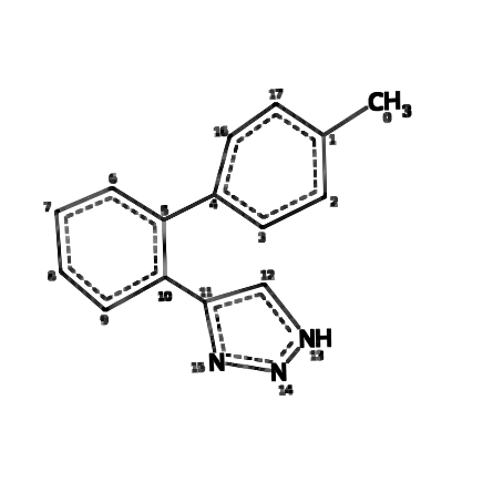 Cc1ccc(-c2ccccc2-c2c[nH]nn2)cc1